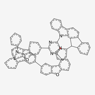 c1ccc(C2c3ccccc3-c3ccc4c5ccccc5n(-c5nc(-c6ccc7c(c6)oc6ccccc67)nc(-c6cccc7oc8ccc(-c9ccc%10c(c9)c9ccccc9n%10-c9ccccc9)cc8c67)n5)c4c32)cc1